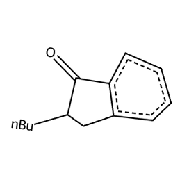 CCCCC1Cc2ccccc2C1=O